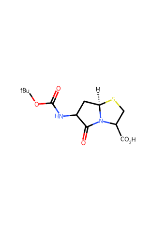 CC(C)(C)OC(=O)NC1C[C@H]2SCC(C(=O)O)N2C1=O